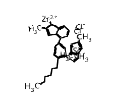 CC1=C2c3ccsc3C1[Si]2(C)C.CCCCCCc1ccc(-c2cccc3c2C=C(C)[CH]3[Zr+2])cc1.[Cl-].[Cl-]